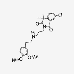 COc1ccc(CCNCCCN2C(=O)c3cc(Cl)ccc3C(C)(C)C2=O)cc1OC